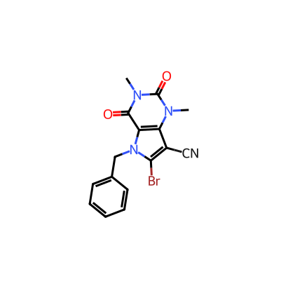 Cn1c(=O)c2c(c(C#N)c(Br)n2Cc2ccccc2)n(C)c1=O